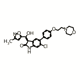 Cc1cc(C(O)=C2C(=O)Nc3cc(Cl)c(-c4ccc(OCCN5CCOCC5)cc4)cc32)on1